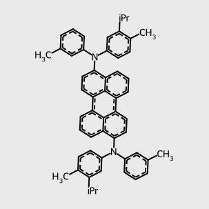 Cc1cccc(N(c2ccc(C)c(C(C)C)c2)c2ccc3c4cccc5c(N(c6cccc(C)c6)c6ccc(C)c(C(C)C)c6)ccc(c6cccc2c63)c54)c1